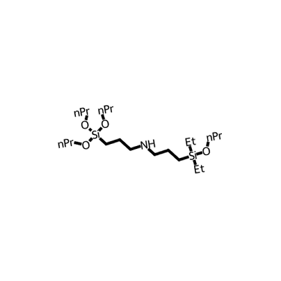 CCCO[Si](CC)(CC)CCCNCCC[Si](OCCC)(OCCC)OCCC